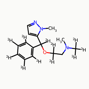 [2H]c1c([2H])c([2H])c(C([2H])(OC([2H])([2H])CN(C)C([2H])([2H])[2H])c2ccnn2C)c([2H])c1[2H]